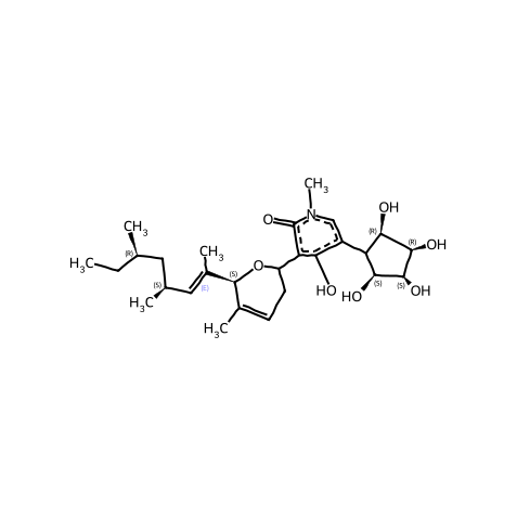 CC[C@@H](C)C[C@H](C)/C=C(\C)[C@H]1OC(c2c(O)c(C3[C@@H](O)[C@@H](O)[C@@H](O)[C@H]3O)cn(C)c2=O)CC=C1C